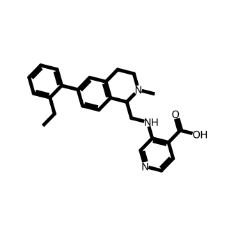 CCc1ccccc1-c1ccc2c(c1)CCN(C)C2CNc1cnccc1C(=O)O